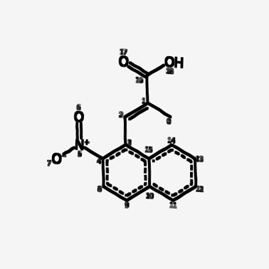 CC(=Cc1c([N+](=O)[O-])ccc2ccccc12)C(=O)O